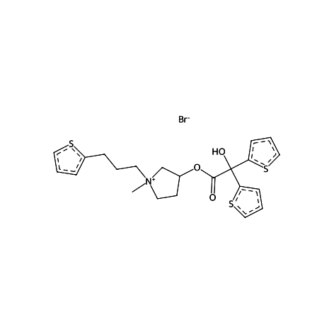 C[N+]1(CCCc2cccs2)CCC(OC(=O)C(O)(c2cccs2)c2cccs2)C1.[Br-]